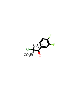 CCOC(=O)C(Cl)(C(=O)OCC)C(=O)c1ccc(F)c(F)c1